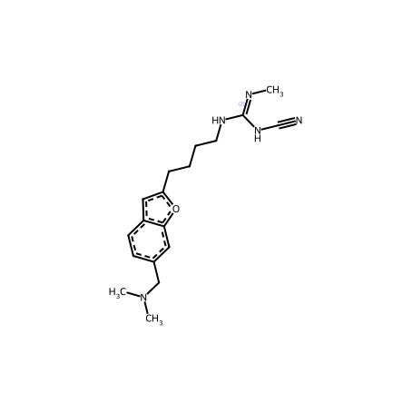 C/N=C(\NC#N)NCCCCc1cc2ccc(CN(C)C)cc2o1